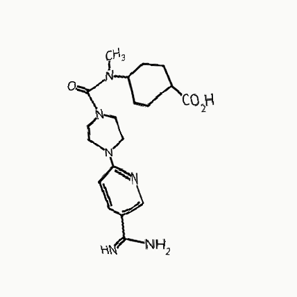 CN(C(=O)N1CCN(c2ccc(C(=N)N)cn2)CC1)C1CCC(C(=O)O)CC1